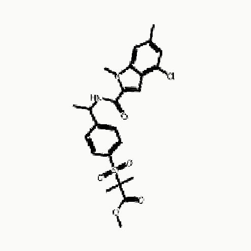 COC(=O)C(C)(C)S(=O)(=O)c1ccc(C(C)NC(=O)c2cc3c(Cl)cc(C)cc3n2C)cc1